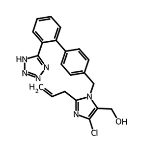 C=CCc1nc(Cl)c(CO)n1Cc1ccc(-c2ccccc2-c2nnn[nH]2)cc1